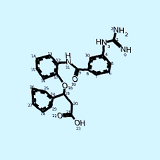 N=C(N)Nc1cccc(C(=O)Nc2ccccc2OC(CC(=O)O)c2ccccc2)c1